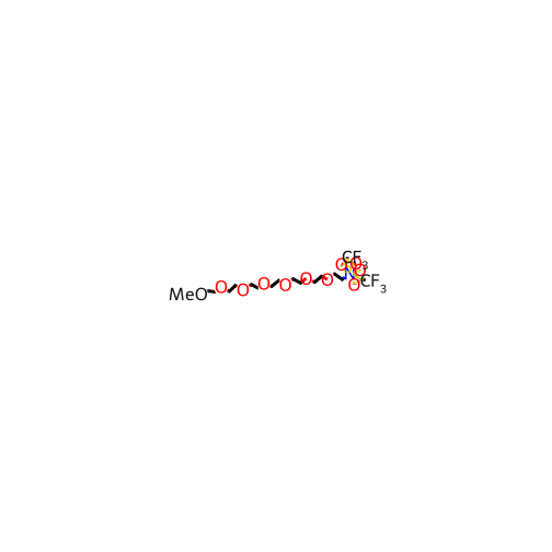 COCCOCCOCCOCCOCCOCCOCCN(S(=O)(=O)C(F)(F)F)S(=O)(=O)C(F)(F)F